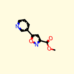 COC(=O)c1cc(-c2cccnc2)on1